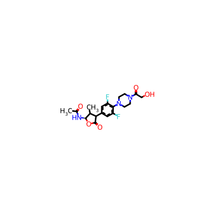 CC(=O)N[C@@H]1OC(=O)C(c2cc(F)c(N3CCN(C(=O)CO)CC3)c(F)c2)C1C